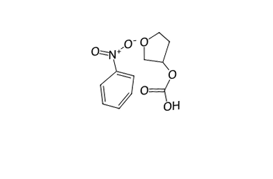 O=C(O)OC1CCOC1.O=[N+]([O-])c1ccccc1